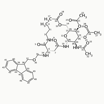 CCCNC(=O)[C@H](CC(=O)N[C@@H]1O[C@H](COC(C)=O)[C@@H](OC(C)=O)[C@H](OC(C)=O)[C@H]1NC(C)=O)NCOCC1c2ccccc2-c2ccccc21